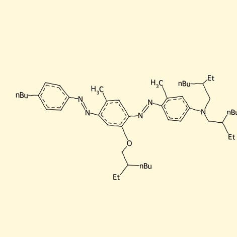 CCCCc1ccc(N=Nc2cc(OCC(CC)CCCC)c(N=Nc3ccc(N(CC(CC)CCCC)CC(CC)CCCC)cc3C)cc2C)cc1